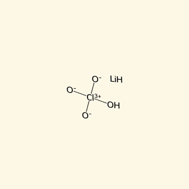 [LiH].[O-][Cl+3]([O-])([O-])O